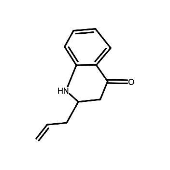 C=CCC1CC(=O)c2ccccc2N1